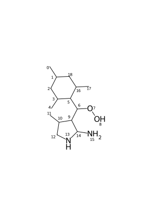 CC1CC(C)C(C(OO)C2C(C)CNC2N)C(C)C1